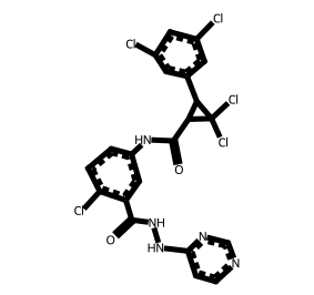 O=C(NNc1ccncn1)c1cc(NC(=O)C2C(c3cc(Cl)cc(Cl)c3)C2(Cl)Cl)ccc1Cl